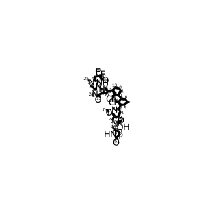 COc1nc(-c2cccc(-c3cccc(-c4cc5c(=O)n(C)c(CN(C)C6CC(F)(F)C(=O)N6)nn5c4)c3Cl)c2Cl)ccc1CN(C[C@@H]1CCC(=O)N1)C(=O)O